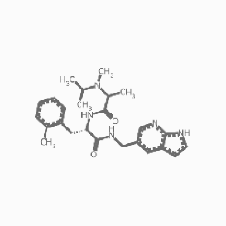 Cc1ccccc1C[C@H](NC(=O)C(C)N(C)C(C)C)C(=O)NCc1cnc2[nH]ccc2c1